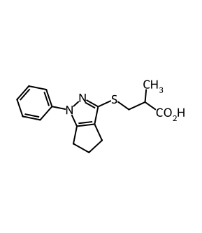 CC(CSc1nn(-c2ccccc2)c2c1CCC2)C(=O)O